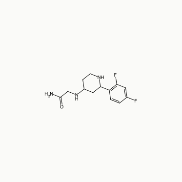 NC(=O)CNC1CCNC(c2ccc(F)cc2F)C1